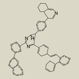 C1=CCCC(c2ccccc2/C=C/C2C=CC(C3=NC(c4cccc(-c5ccc6ccccc6c5)c4)=N[C@H]4C3C4c3ccc(C4C=NC=C5CCCCC54)cc3)=CC2)=C1